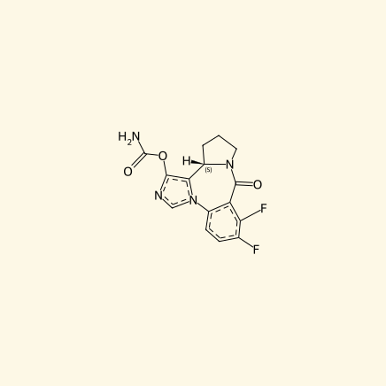 NC(=O)Oc1ncn2c1[C@@H]1CCCN1C(=O)c1c-2ccc(F)c1F